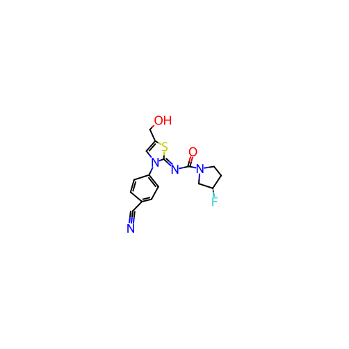 N#Cc1ccc(-n2cc(CO)s/c2=N\C(=O)N2CC[C@@H](F)C2)cc1